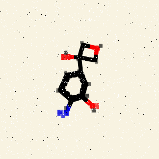 Nc1ccc(C2(O)COC2)cc1O